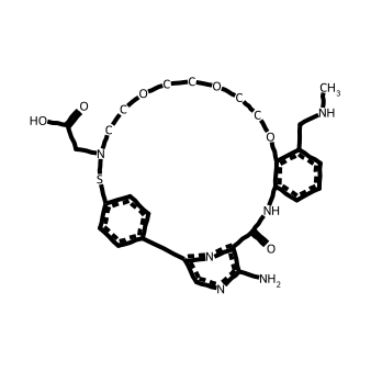 CNCc1cccc2c1OCCOCCOCCN(CC(=O)O)Sc1ccc(cc1)-c1cnc(N)c(n1)C(=O)N2